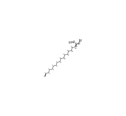 C=CCCCCCCCCCCCCCCC[SiH](OCC)OCC